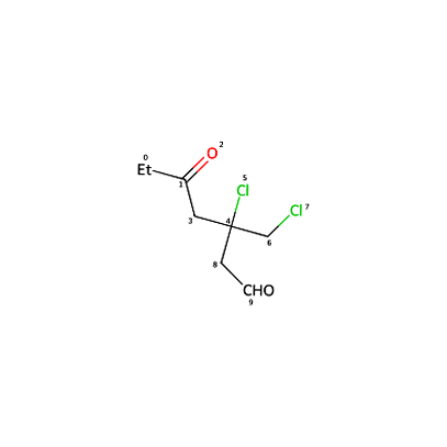 CCC(=O)CC(Cl)(CCl)CC=O